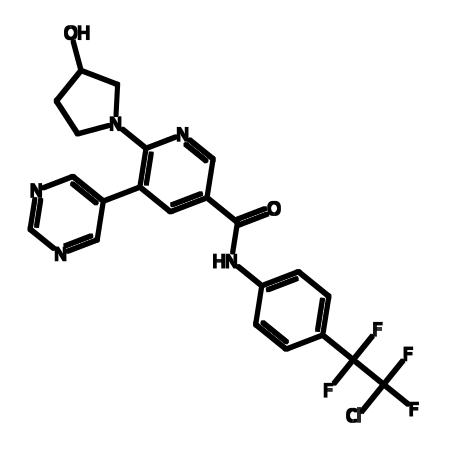 O=C(Nc1ccc(C(F)(F)C(F)(F)Cl)cc1)c1cnc(N2CCC(O)C2)c(-c2cncnc2)c1